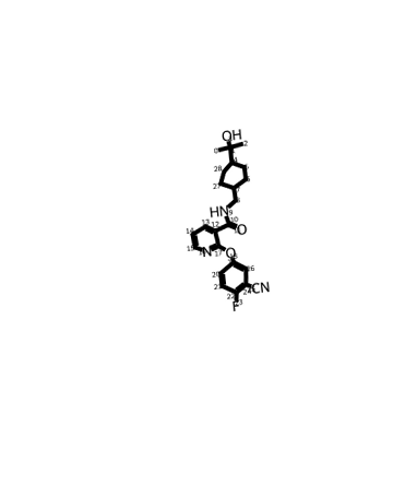 CC(C)(O)C1CCC(CNC(=O)c2cccnc2Oc2ccc(F)c(C#N)c2)CC1